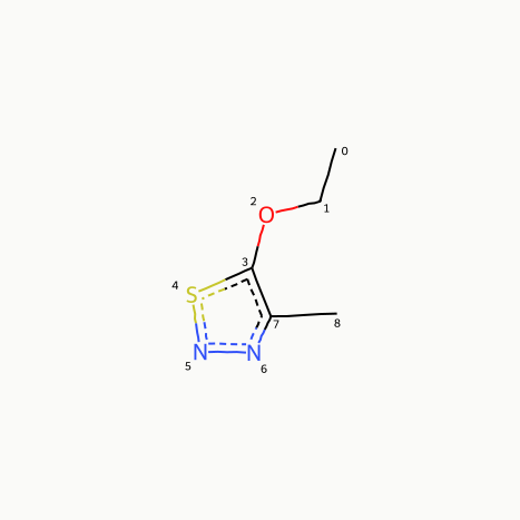 CCOc1snnc1C